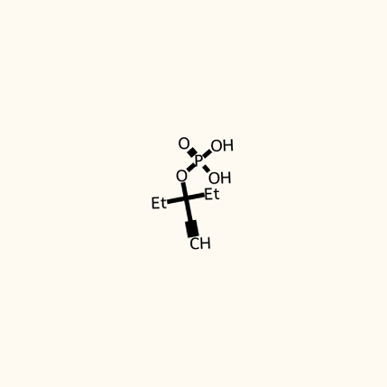 C#CC(CC)(CC)OP(=O)(O)O